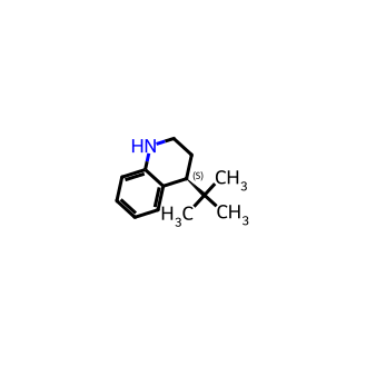 CC(C)(C)[C@@H]1CCNc2ccccc21